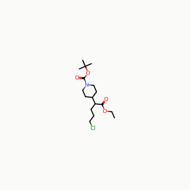 CCOC(=O)C(CCCCl)C1CCN(C(=O)OC(C)(C)C)CC1